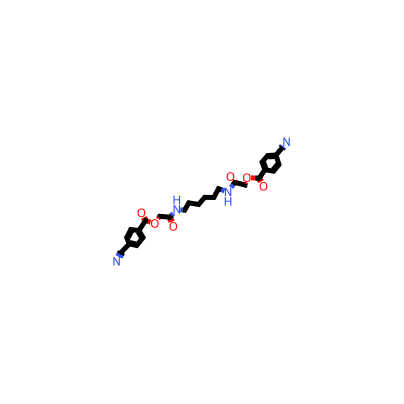 N#Cc1ccc(C(=O)OCC(=O)NCCCCCCNC(=O)COC(=O)c2ccc(C#N)cc2)cc1